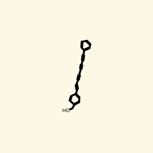 OCc1ccc(C#CC#CC#CC#Cc2ccccc2)cc1